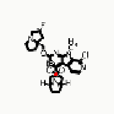 Cn1c2nc(OC[C@@]34CCCN3C[C@H](F)C4)nc(N3C[C@H]4CC[C@@H](C3)N4C(=O)OC(C)(C)C)c2c2ccnc(Cl)c21